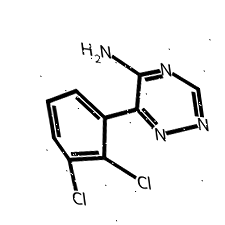 Nc1ncnnc1-c1cccc(Cl)c1Cl